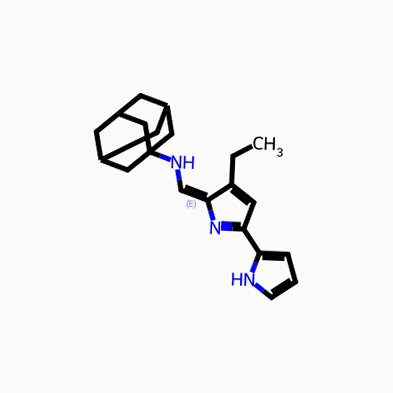 CCC1=CC(c2ccc[nH]2)=N/C1=C/NC12CC3CC(CC(C3)C1)C2